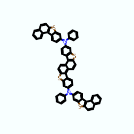 c1ccc(N(c2ccc3c(c2)sc2ccc4ccccc4c23)c2ccc3c(c2)sc2ccc4c(ccc5sc6cc(N(c7ccccc7)c7ccc8c(c7)sc7ccc9ccccc9c78)ccc6c54)c23)cc1